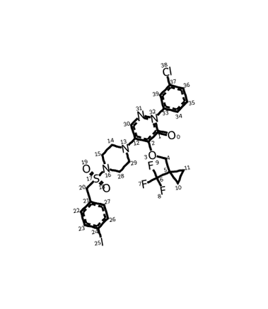 O=c1c(OCC2(C(F)(F)F)CC2)c(N2CCN(S(=O)(=O)Cc3ccc(I)cc3)CC2)cnn1-c1cccc(Cl)c1